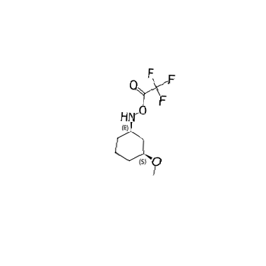 CO[C@H]1CCC[C@@H](NOC(=O)C(F)(F)F)C1